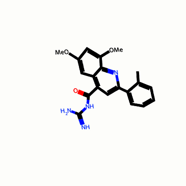 COc1cc(OC)c2nc(-c3ccccc3C)cc(C(=O)NC(=N)N)c2c1